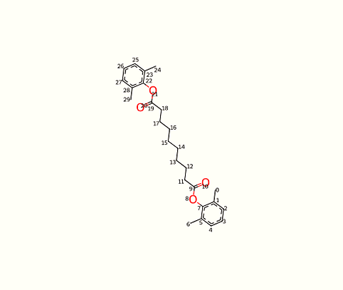 Cc1cccc(C)c1OC(=O)CCCCCCCCC(=O)Oc1c(C)cccc1C